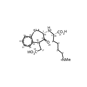 CNCCCC[C@H](N[C@H]1CSc2ccccc2N(CC(=O)O)C1=O)C(=O)O